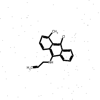 C=CCNc1c2ccccc2c(Cl)c2c(C)cccc12